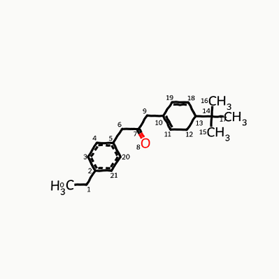 CCc1ccc(CC(=O)CC2=CCC(C(C)(C)C)C=C2)cc1